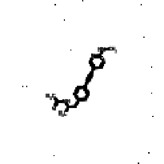 CNc1ncc(C#Cc2ccc(CC(C)NC(C)=O)cc2)cn1